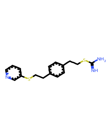 N=C(N)SCCc1ccc(CCSc2cccnc2)cc1